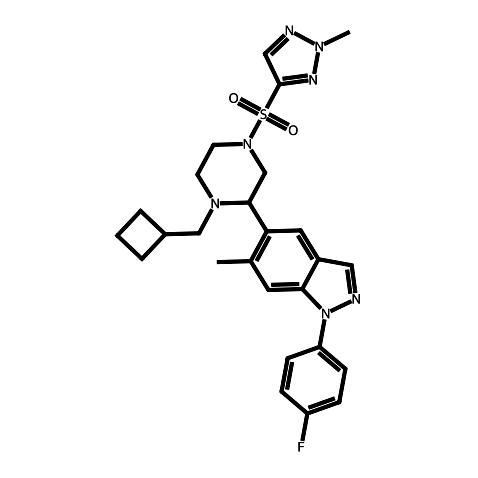 Cc1cc2c(cnn2-c2ccc(F)cc2)cc1C1CN(S(=O)(=O)c2cnn(C)n2)CCN1CC1CCC1